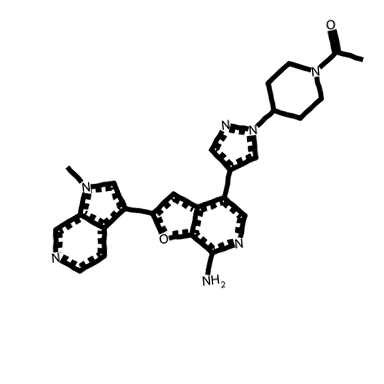 CC(=O)N1CCC(n2cc(-c3cnc(N)c4oc(-c5cn(C)c6cnccc56)cc34)cn2)CC1